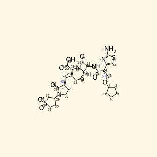 Nc1nc(/C(=N/OC2CCCC2)C(=O)N[C@@H]2C(=O)N3C(C(=O)O)=C(/C=C4\CCN(C5CCS(=O)(=O)C5)C4=O)CS[C@H]23)cs1